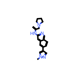 C=C(CN1CCCC1)Nc1cc2cc(-c3cnn(C)c3)ccc2cn1